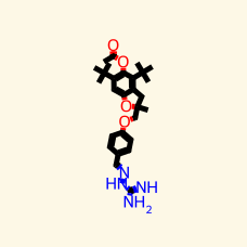 CC(=O)Oc1c(C(C)(C)C)cc2c(c1C(C)(C)C)CC(C)(COc1ccc(/C=N/NC(=N)N)cc1)O2